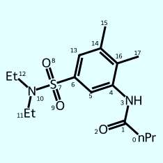 CCCC(=O)Nc1cc(S(=O)(=O)N(CC)CC)cc(C)c1C